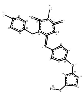 CCn1c(=O)[nH]/c(=N\c2ccc(Oc3ncc(CO)s3)cc2)n(Cc2ccc(Cl)cc2)c1=O